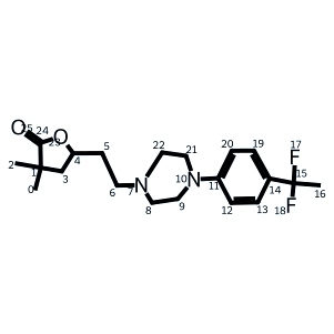 CC1(C)CC(CCN2CCN(c3ccc(C(C)(F)F)cc3)CC2)OC1=O